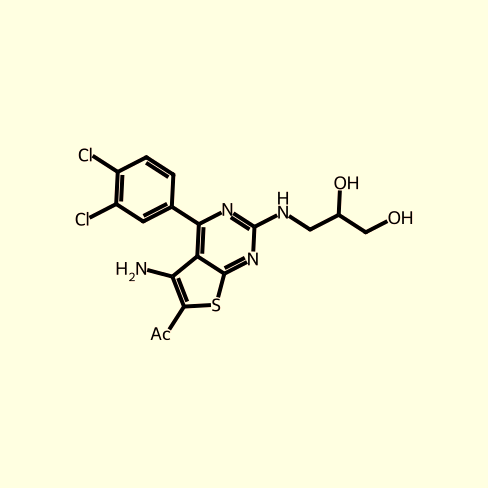 CC(=O)c1sc2nc(NCC(O)CO)nc(-c3ccc(Cl)c(Cl)c3)c2c1N